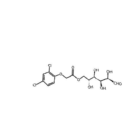 O=C[C@H](O)[C@@H](O)[C@H](O)[C@H](O)COC(=O)COc1ccc(Cl)cc1Cl